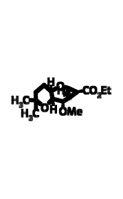 CCOC(=O)[C@@H]1[C@H]2O[C@@H]3CCC(C)(C)O[C@H]3[C@H](OC)[C@H]21